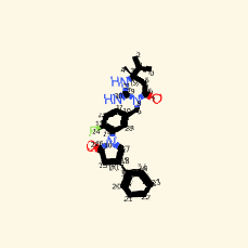 CC(C)[C@]1(C)CC(=O)N(Cc2ccc(F)c(N3C[C@@H](c4ccccc4)CC3=O)c2)C(=N)N1